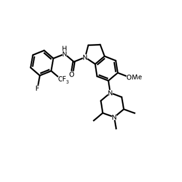 COc1cc2c(cc1N1CC(C)N(C)C(C)C1)N(C(=O)Nc1cccc(F)c1C(F)(F)F)CC2